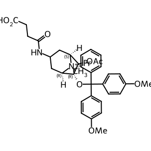 COc1ccc(C(O[C@H]2[C@@H](OC(C)=O)[C@@H]3CC(NC(=O)CCC(=O)O)C[C@H]2[N+]3(C)C(C)C)(c2ccccc2)c2ccc(OC)cc2)cc1